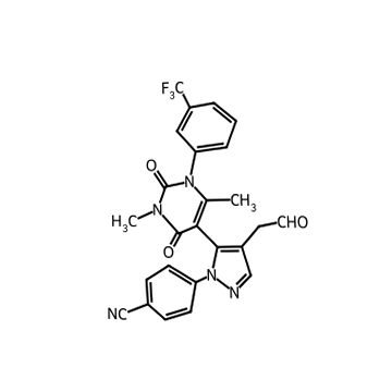 Cc1c(-c2c(CC=O)cnn2-c2ccc(C#N)cc2)c(=O)n(C)c(=O)n1-c1cccc(C(F)(F)F)c1